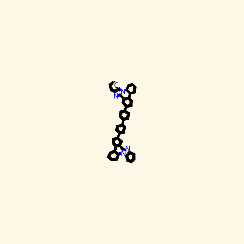 C1=CC2c3ccc(-c4ccc(-c5ccc(-c6ccc7c8ccccc8n8c9ccccc9nc8c7c6)cc5)cc4)cc3-c3nc4ccccc4n3C2C=C1